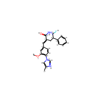 COc1cc(/C=C(\CC(CF)c2ccccc2)C(N)=O)ccc1-n1cnc(C)c1